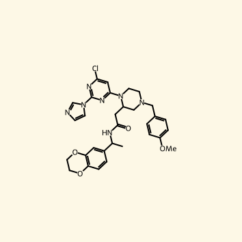 COc1ccc(CN2CCN(c3cc(Cl)nc(-n4ccnc4)n3)C(CC(=O)NC(C)c3ccc4c(c3)OCCO4)C2)cc1